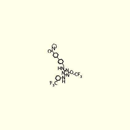 O=C(c1ccc(-c2ccc(CNc3nc(Nc4cccc(C(F)(F)F)c4)nc(OCC(F)(F)F)n3)cc2)cc1)N1CCCC1